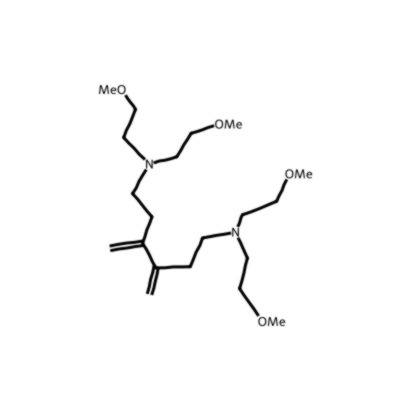 C=C(CCN(CCOC)CCOC)C(=C)CCN(CCOC)CCOC